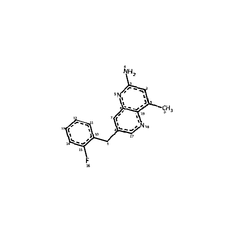 Cc1cc(N)nc2cc(Cc3ccccc3F)cnc12